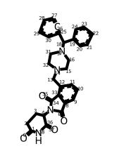 O=C1CCC(N2C(=O)c3cccc(CN4CCN(C(c5ccccc5)c5ccccc5)CC4)c3C2=O)C(=O)N1